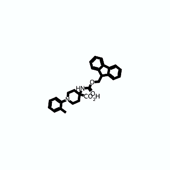 Cc1ccccc1N1CCC(NC(=O)OCC2c3ccccc3-c3ccccc32)(C(=O)O)CC1